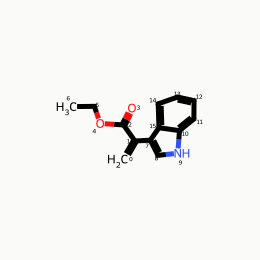 C=C(C(=O)OCC)c1c[nH]c2ccccc12